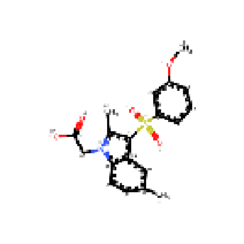 COc1cccc(S(=O)(=O)c2c(C)n(CC(=O)O)c3ccc(C)cc23)c1